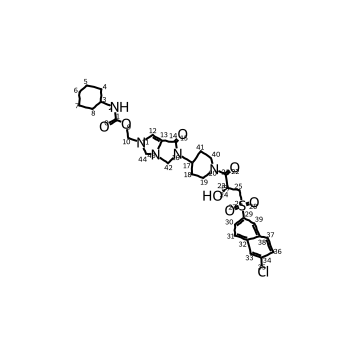 O=C(NC1CCCCC1)OCN1C=C2C(=O)N(C3CCN(C(=O)[C@H](O)CS(=O)(=O)c4ccc5cc(Cl)ccc5c4)CC3)CN2C1